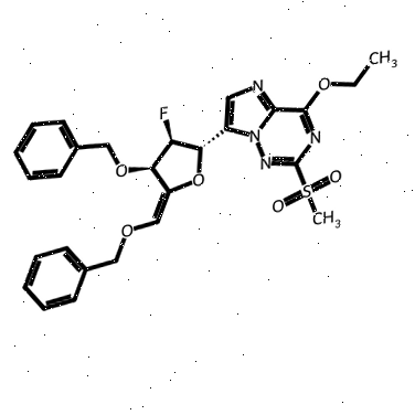 CCOc1nc(S(C)(=O)=O)nn2c([C@@H]3O/C(=C/OCc4ccccc4)[C@@H](OCc4ccccc4)[C@H]3F)cnc12